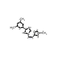 Cc1cc(C)cc(-c2ncn(/C=C\c3ncn(C)n3)n2)c1